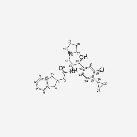 O=C(CC1Cc2ccccc2C1)NC(CN1CCCC1)C(O)c1ccc(C2CC2)c(Cl)c1